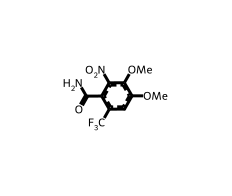 COc1cc(C(F)(F)F)c(C(N)=O)c([N+](=O)[O-])c1OC